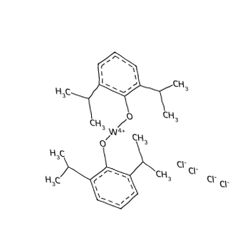 CC(C)c1cccc(C(C)C)c1[O][W+4][O]c1c(C(C)C)cccc1C(C)C.[Cl-].[Cl-].[Cl-].[Cl-]